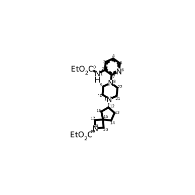 CCOC(=O)Nc1cccnc1N1CCN([C@@H]2CCC3(C2)CN(C(=O)OCC)C3)CC1